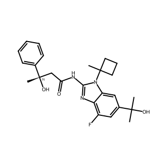 CC(C)(O)c1cc(F)c2nc(NC(=O)C[C@](C)(O)c3ccccc3)n(C3(C)CCC3)c2c1